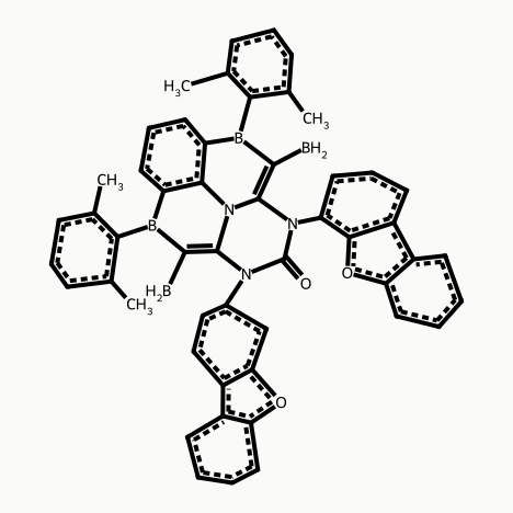 BC1=C2N(c3ccc4c(c3)oc3ccccc34)C(=O)N(c3cccc4c3oc3ccccc34)C3=C(B)B(c4c(C)cccc4C)c4cccc(c4N23)B1c1c(C)cccc1C